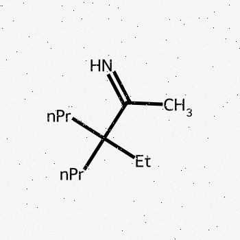 CCCC(CC)(CCC)C(C)=N